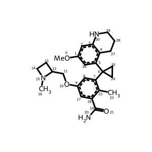 COc1cc2c(c(C3(c4cc(OCC5CCN5C)cc(C(N)=O)c4C)CC3)c1)CCCN2